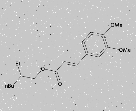 CCCCC(CC)COC(=O)/C=C/c1ccc(OC)c(OC)c1